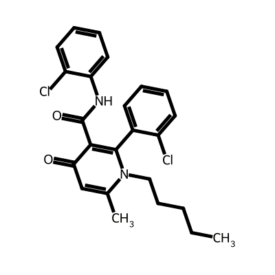 CCCCCn1c(C)cc(=O)c(C(=O)Nc2ccccc2Cl)c1-c1ccccc1Cl